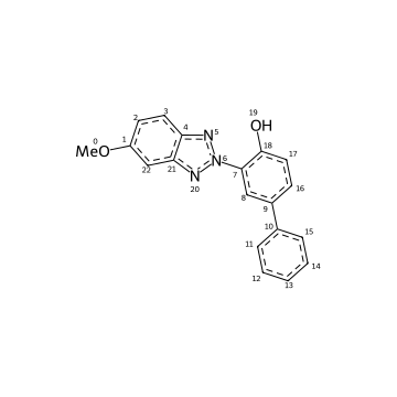 COc1ccc2nn(-c3cc(-c4ccccc4)ccc3O)nc2c1